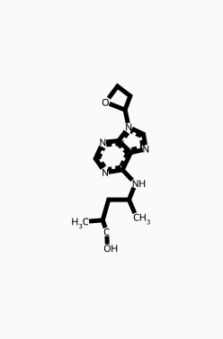 CC(CO)CC(C)Nc1ncnc2c1ncn2C1CCO1